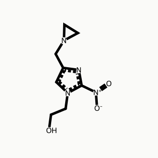 O=[N+]([O-])c1nc(CN2CC2)cn1CCO